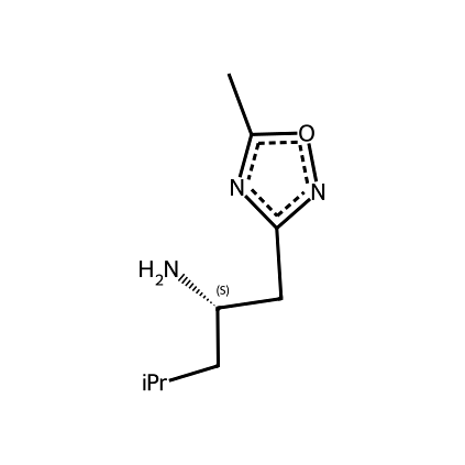 Cc1nc(C[C@@H](N)CC(C)C)no1